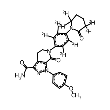 [2H]c1c([2H])c(N2C(=O)C([2H])([2H])CCC2([2H])[2H])c([2H])c([2H])c1N1CCc2c(C(N)=O)nn(-c3ccc(OC)cc3)c2C1=O